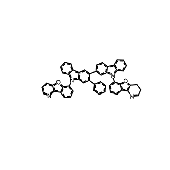 C1=Nc2c(oc3c(-n4c5ccccc5c5ccc(-c6cc7c8ccccc8n(-c8cccc9c8oc8cccnc89)c7cc6-c6ccccc6)cc54)cccc23)CC1